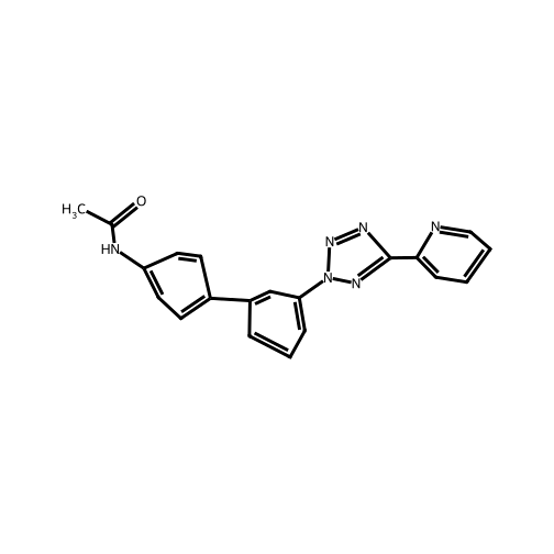 CC(=O)Nc1ccc(-c2cccc(-n3nnc(-c4ccccn4)n3)c2)cc1